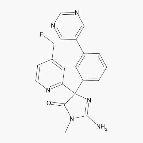 CN1C(=O)C(c2cccc(-c3cncnc3)c2)(c2cc(CF)ccn2)N=C1N